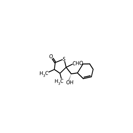 CC1C(=O)SC(C=O)([C@@H](O)C2C=CCCC2)C1C